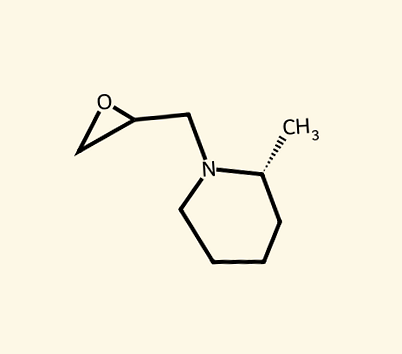 C[C@@H]1CCCCN1CC1CO1